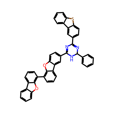 c1ccc(C2N=C(c3ccc4sc5ccccc5c4c3)N=C(c3ccc4oc5c(-c6cccc7c6oc6ccccc67)cccc5c4c3)N2)cc1